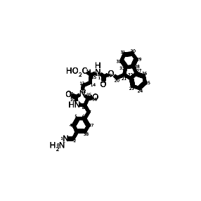 NN=Cc1ccc(CC2NC(=O)N(CCC(NC(=O)OCC3c4ccccc4-c4ccccc43)C(=O)O)C2=O)cc1